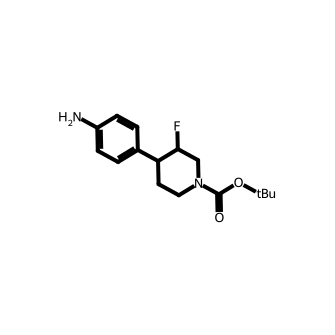 CC(C)(C)OC(=O)N1CCC(c2ccc(N)cc2)C(F)C1